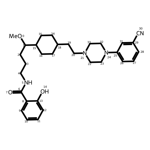 COC(CCCNC(=O)c1ccccc1O)C1CCC(CCN2CCN(c3cccc(C#N)c3)CC2)CC1